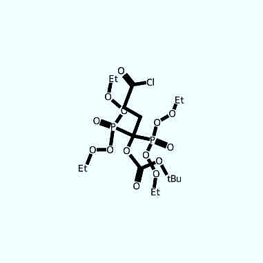 CCOOP(=O)(OOCC)C(CCC(=O)Cl)(OC(=O)OC(C)(C)C)P(=O)(OOCC)OOCC